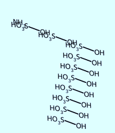 N.O=S(=O)(O)O.O=S(=O)(O)O.O=S(=O)(O)O.O=S(=O)(O)O.O=S(=O)(O)O.O=S(=O)(O)O.O=S(=O)(O)O.O=S(=O)(O)O.O=S(=O)(O)O.O=S(=O)(O)O